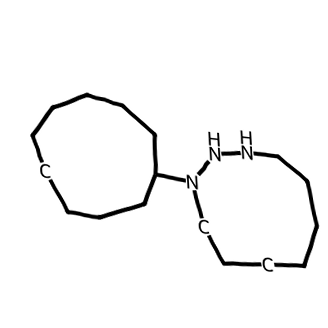 C1CCCCC(N2CCCCCCCNN2)CCCC1